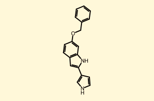 c1ccc(COc2ccc3cc(-c4cc[nH]c4)[nH]c3c2)cc1